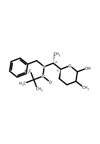 CC1CC[C@@H]([C@@H](C)N(Cc2ccccc2)[S+]([O-])C(C)(C)C)OC1O